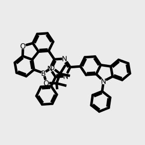 CC1(C)OB(c2cccc3oc4cccc(-c5nc(-c6ccccc6)nc(-c6ccc7c8ccccc8n(-c8ccccc8)c7c6)n5)c4c23)OC1(C)C